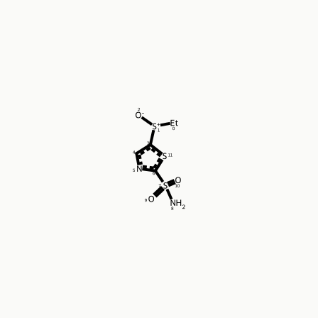 CC[S+]([O-])c1cnc(S(N)(=O)=O)s1